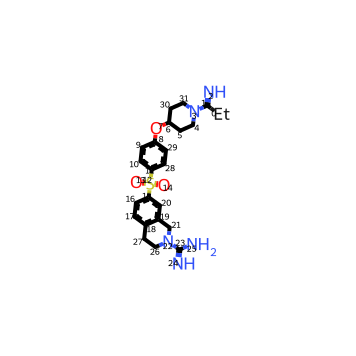 CCC(=N)N1CCC(Oc2ccc(S(=O)(=O)c3ccc4c(c3)CN(C(=N)N)CC4)cc2)CC1